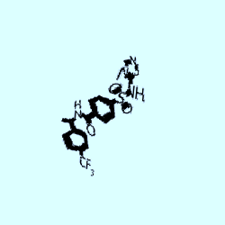 CC(NC(=O)c1ccc(S(=O)(=O)Nc2ncns2)cc1)c1ccc(C(F)(F)F)cc1